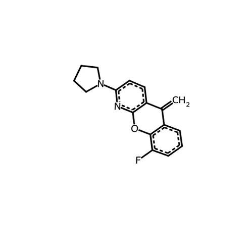 C=C1c2ccc(N3CCCC3)nc2Oc2c(F)cccc21